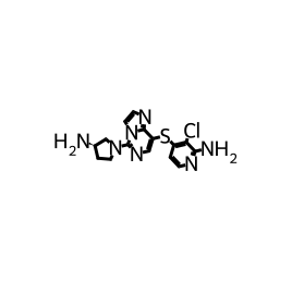 Nc1nccc(Sc2cnc(N3CC[C@H](N)C3)n3ccnc23)c1Cl